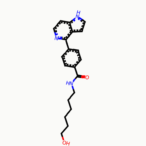 O=C(NCCCCCCO)c1ccc(-c2nccc3[nH]ccc23)cc1